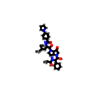 CC(=O)NC(C(=O)N1CC(=O)C2C1CCN2C(=O)C(CC(C)C)NC(=O)c1ccc(N2CCCC2)cc1)C1CCCCC1